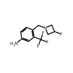 Nc1ccc(CN2CC(F)C2)c(C(F)(F)F)c1